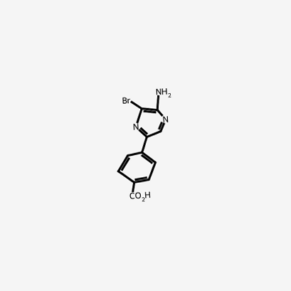 Nc1ncc(-c2ccc(C(=O)O)cc2)nc1Br